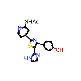 CC(=O)Nc1cc(-c2nc(-c3ccc(O)cc3)c(-c3ncc[nH]3)s2)ccn1